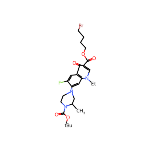 CCn1cc(C(=O)OCCCCBr)c(=O)c2cc(F)c(N3CCN(C(=O)OC(C)(C)C)C(C)C3)cc21